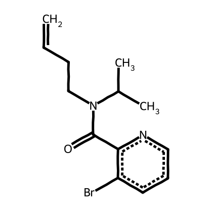 C=CCCN(C(=O)c1ncccc1Br)C(C)C